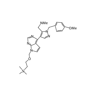 CNCc1c(-c2ncnc3c2ccn3COCC[Si](C)(C)C)cnn1Cc1ccc(OC)cc1